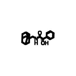 O=C(NCC12CC3CC(CC(C3)C1)C2)[C@@H](O)c1ccccc1